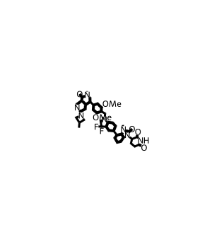 COc1cc(-c2cn(C)c(=O)c3cnc(N4CC(C)C4)cc23)cc(OC)c1CN1CC(F)(F)c2cc(-c3cccc4c3n(C)c(=O)n4C3CCC(=O)NC3=O)ccc21